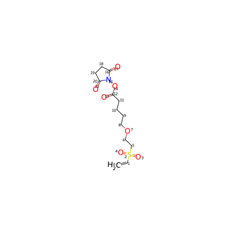 C=CS(=O)(=O)CCOCCCCC(=O)ON1C(=O)CCC1=O